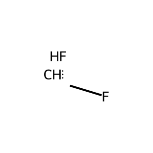 CF.F.[CH]